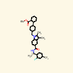 Cc1c(C)n(Cc2ccc(-c3ccccc3C(=O)OC(C)(C)C)cc2)c2ccc(C(=O)N[C@@H](C)c3ccc(C(F)(F)F)cc3F)cc12